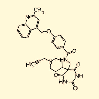 C#CCN1CCC(C2(CNC(=O)c3ccc(OCc4cc(C)nc5ccccc45)cc3)C(=O)NC(=O)NC2=O)CC1